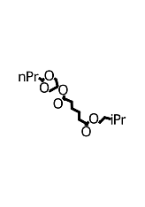 CCCC1OCC(OC(=O)CCCCC(=O)OCCC(C)C)CO1